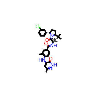 Cc1cc(Nc2ccc(C(=O)N[C@H](C)C(=O)N3C(C(C)(C)C#N)CC[C@H]3c3cccc(Cl)c3)cc2C)c(=O)[nH]n1